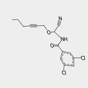 CCCC#CCOC(C#N)NC(=O)c1cc(Cl)cc(Cl)c1